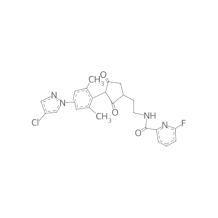 Cc1cc(-n2cc(Cl)cn2)cc(C)c1C1C(=O)CC(CCNC(=O)c2cccc(F)n2)C1=O